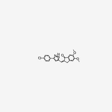 COc1cc2c(cc1OC)C(=O)C(=Cc1cc(-c3ccc(Cl)cc3)n[nH]1)C2